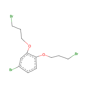 BrCCCOc1ccc(Br)cc1OCCCBr